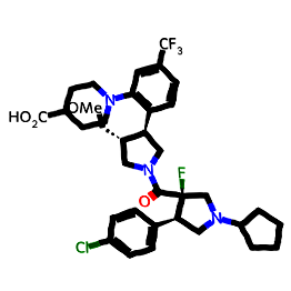 COC[C@H]1CN(C(=O)[C@]2(F)CN(C3CCCC3)C[C@H]2c2ccc(Cl)cc2)C[C@@H]1c1ccc(C(F)(F)F)cc1N1CCC(C(=O)O)CC1